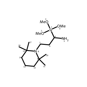 CO[Si](OC)(OC)C(N)CCN1C(C)(C)CCCC1(C)C